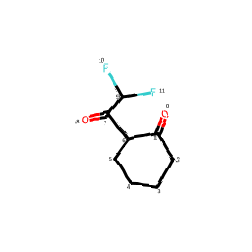 O=C1CCCCC1C(=O)C(F)F